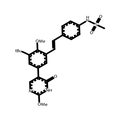 COc1ncc(-c2cc(/C=C/c3ccc(NS(C)(=O)=O)cc3)c(OC)c(C(C)(C)C)c2)c(=O)[nH]1